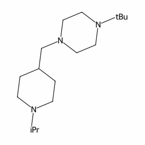 CC(C)N1CCC(CN2CCN(C(C)(C)C)CC2)CC1